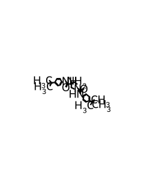 CC(C)c1ccc(NC(=O)C2(N)CCN(C(=O)Nc3ccc(C(C)(C)C)cc3)CC2)cc1